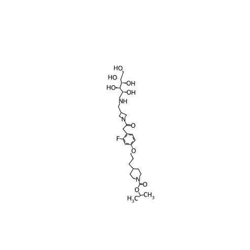 CC(C)OC(=O)N1CCC(CCCOc2ccc(CC(=O)N3CC(CNC[C@H](O)[C@@H](O)[C@H](O)[C@H](O)CO)C3)c(F)c2)CC1